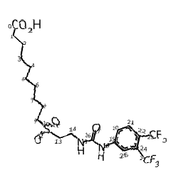 O=C(O)CCCCCCCCCS(=O)(=O)CCNC(=O)Nc1ccc(C(F)(F)F)c(C(F)(F)F)c1